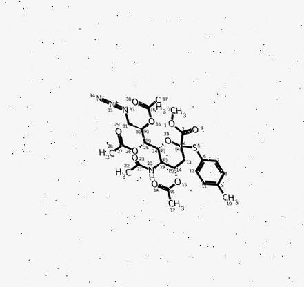 COC(=O)[C@]1(Sc2ccc(C)cc2)C[C@H](OC(C)=O)[C@@H](NC(C)=O)[C@H]([C@H](OC(C)=O)[C@@H](CN=[N+]=[N-])OC(C)=O)O1